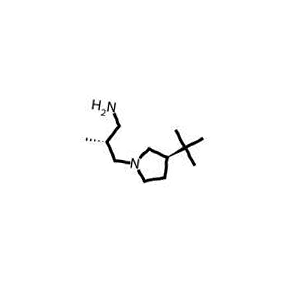 C[C@H](CN)CN1CC[C@H](C(C)(C)C)C1